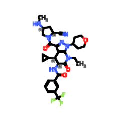 CCN1C(=O)[C@@H](NC(=O)c2cccc(C(F)(F)F)c2)[C@@H](C2CC2)c2c(C(=O)N3C[C@@H](NC)C[C@H]3C#N)nn(C3CCOCC3)c21